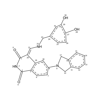 O=C1NC(=O)c2ccc(N3Cc4ccccc4C3)cc2/C1=C\NCc1ccc(O)c(O)c1